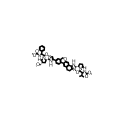 COC[C@H]1C[C@@H](c2ncc(-c3ccc4c(c3)COc3cc5c(cc3-4)CCc3nc([C@@H]4CC[C@H](C)N4C(=O)C(NC(=O)OC)C(C)C)[nH]c3-5)[nH]2)N(C(=O)C(NC(=O)OC)c2ccccc2)C1